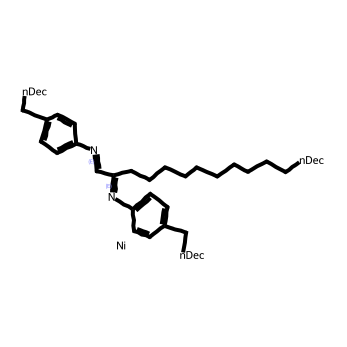 CCCCCCCCCCCCCCCCCCCCC(/C=N/c1ccc(CCCCCCCCCCC)cc1)=N\c1ccc(CCCCCCCCCCC)cc1.[Ni]